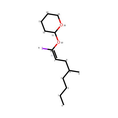 CCCCC(C)C/C=C(/I)OC1CCCCO1